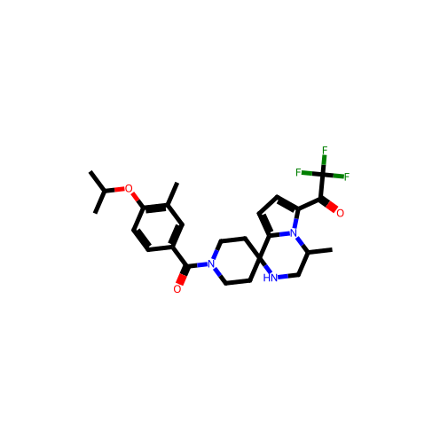 Cc1cc(C(=O)N2CCC3(CC2)NCC(C)n2c(C(=O)C(F)(F)F)ccc23)ccc1OC(C)C